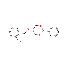 N#Cc1ccccc1CO[C@H]1CO[C@@H](c2ccccc2)OC1